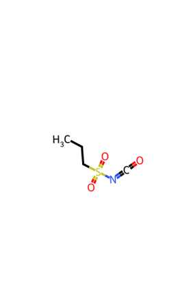 CCCS(=O)(=O)N=C=O